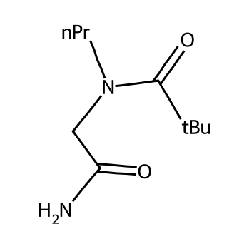 CCCN(CC(N)=O)C(=O)C(C)(C)C